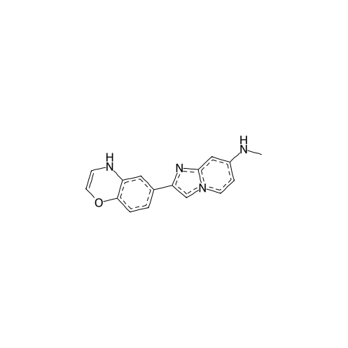 CNc1ccn2cc(-c3ccc4c(c3)NC=CO4)nc2c1